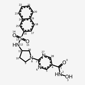 O=C(NO)c1cnc(N2CCC(NS(=O)(=O)c3ccc4ccccc4c3)C2)nc1